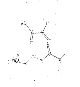 C=C(C)C(=O)O.COC(=O)OCCO